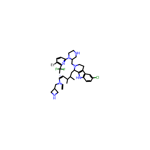 C=CN(/C=C\C(C)C(C)CC1c2[nH]c3ccc(Cl)cc3c2CCN1CC1CNCCN1c1ccc(CC)c(C(C)(F)F)n1)CC1CNC1